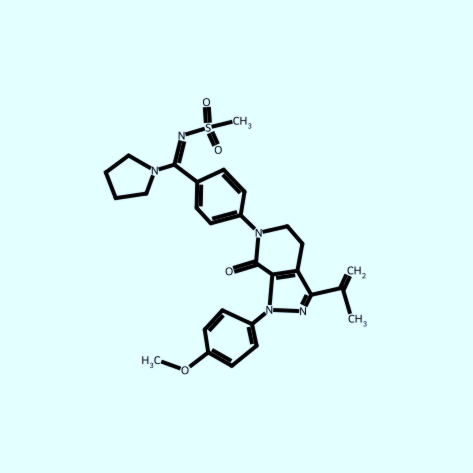 C=C(C)c1nn(-c2ccc(OC)cc2)c2c1CCN(c1ccc(/C(=N\S(C)(=O)=O)N3CCCC3)cc1)C2=O